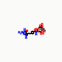 Cc1oc(=O)oc1COC(=O)[C@H](CCC(O)O)NC(=O)c1ccc(CCc2c[nH]c3nc(N)[nH]c(=O)c23)cc1